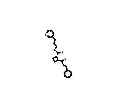 O=C(NCCCc1cccnc1)[C@@H]1CCN1C(=O)OCc1ccccc1